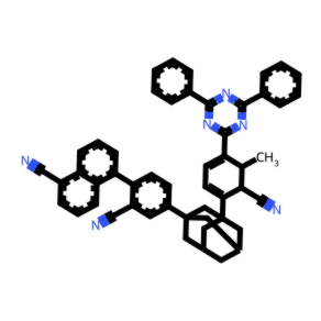 CC1C(c2nc(-c3ccccc3)nc(-c3ccccc3)n2)=CC=C(C23CC4CC(C2)CC(c2ccc(-c5cccc6c(C#N)cccc56)c(C#N)c2)(C4)C3)C1C#N